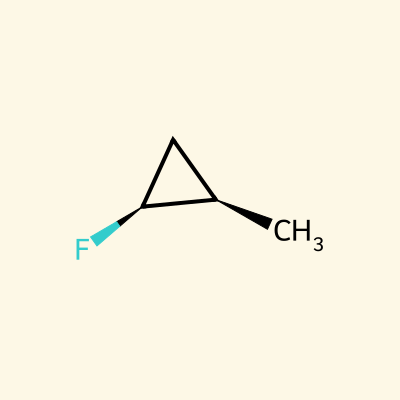 C[C@@H]1C[C@@H]1F